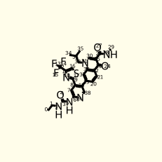 CCNC(=O)Nc1cc(-c2nc(C(F)(F)F)cs2)c(-c2ccc3c(=O)c(C(=O)NC)cn(CC(C)C)c3c2)cn1